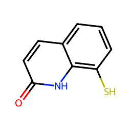 O=c1ccc2cccc(S)c2[nH]1